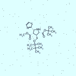 COC(=O)[C@H]1[C@H](CO[Si](C)(C)C(C)(C)C)[C@@H](C(=O)OC(C)(C)C)N[C@H]1c1nccs1